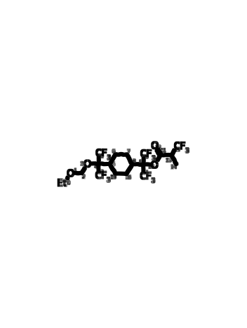 CCOCOC(C1CCC(C(OC(=O)C(C)C(F)(F)F)(C(F)(F)F)C(F)(F)F)CC1)(C(F)(F)F)C(F)(F)F